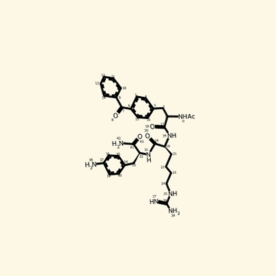 CC(=O)NC(Cc1ccc(C(=O)c2ccccc2)cc1)C(=O)N[C@@H](CCCCNC(=N)N)C(=O)N[C@@H](Cc1ccc(N)cc1)C(N)=O